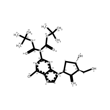 C=C1[C@H](CO)[C@@H](O)C[C@@H]1n1cnc2c(Cl)nc(N(C(=O)OC(C)(C)C)C(=O)OC(C)(C)C)nc21